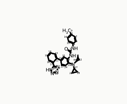 Cc1ccc(NC(=O)Nc2cc(-c3ccccc3-c3nnn[nH]3)ccc2N(C2CC2)C2CC2)cc1